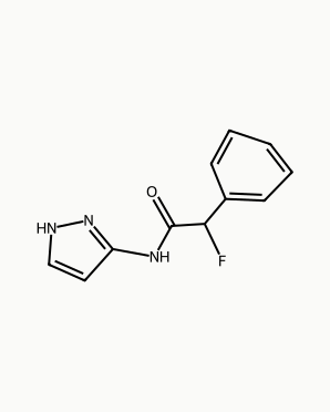 O=C(Nc1cc[nH]n1)C(F)c1ccccc1